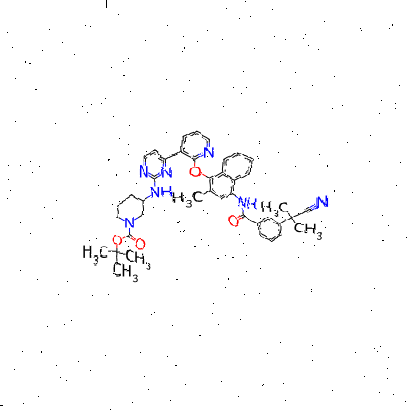 Cc1cc(NC(=O)c2cccc(C(C)(C)C#N)c2)c2ccccc2c1Oc1ncccc1-c1ccnc(NC2CCCN(C(=O)OC(C)(C)C)C2)n1